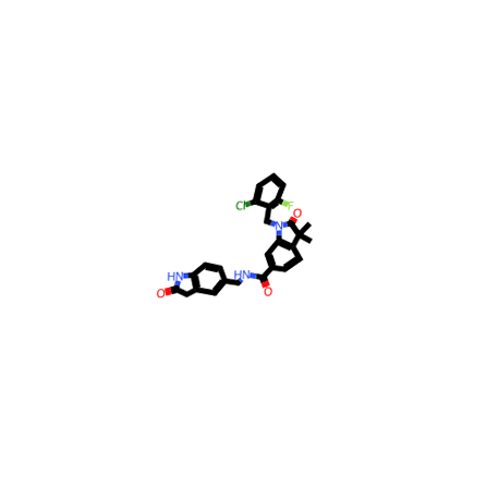 CC1(C)C(=O)N(Cc2c(F)cccc2Cl)c2cc(C(=O)NCc3ccc4c(c3)CC(=O)N4)ccc21